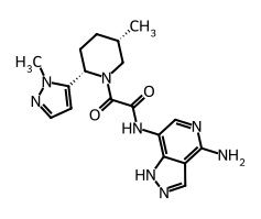 C[C@H]1CC[C@@H](c2ccnn2C)N(C(=O)C(=O)Nc2cnc(N)c3cn[nH]c23)C1